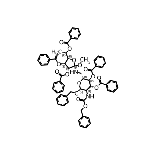 CO[C@]1(NC[C@H]2O[C@H](OCc3ccccc3)[C@H](NC(=O)OCc3ccccc3)[C@@H](OC(=O)c3ccccc3)[C@@H]2OC(=O)c2ccccc2)O[C@H]([C@@H](C)OC(=O)c2ccccc2)[C@H](OC(=O)c2ccccc2)[C@H]1OC(=O)c1ccccc1